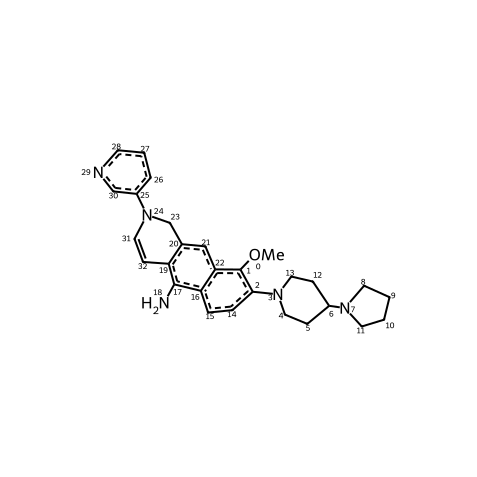 COc1c(N2CCC(N3CCCC3)CC2)ccc2c(N)c3c(cc12)CN(c1cccnc1)C=C3